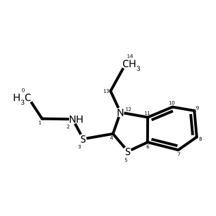 CCNSC1Sc2ccccc2N1CC